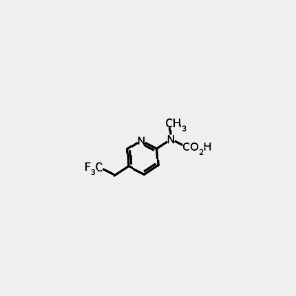 CN(C(=O)O)c1ccc(CC(F)(F)F)cn1